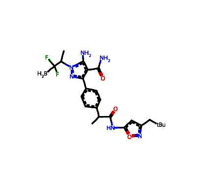 BC(F)(F)C(C)n1nc(-c2ccc(C(C)C(=O)Nc3cc(CC(C)(C)C)no3)cc2)c(C(N)=O)c1N